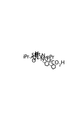 CCCOc1nc(CC)c(CNC(=O)[C@H](S)CC(C)C)n1Cc1ccc(-c2ccccc2C(=O)O)c(F)c1